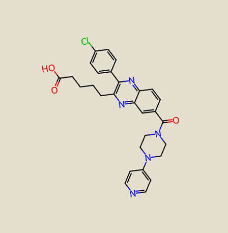 O=C(O)CCCCc1nc2cc(C(=O)N3CCN(c4ccncc4)CC3)ccc2nc1-c1ccc(Cl)cc1